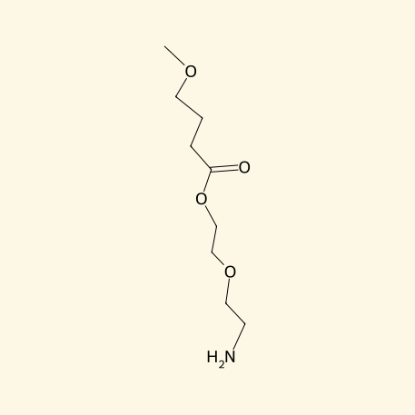 COCCCC(=O)OCCOCCN